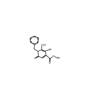 CC(C)(C)OC(=O)C1=CC(=S)C(Cc2ccccc2)C(C=O)=C1Br